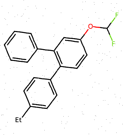 CCc1ccc(-c2ccc(OC(F)F)cc2-c2ccccc2)cc1